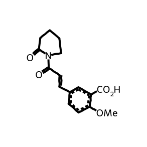 COc1ccc(C=CC(=O)N2CCCCC2=O)cc1C(=O)O